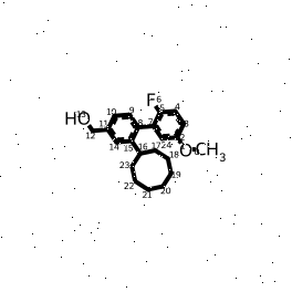 COc1ccc(F)c(-c2ccc(CO)cc2C2CCCCCCC2)c1